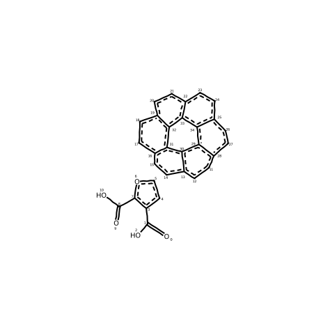 O=C(O)c1ccoc1C(=O)O.c1cc2ccc3ccc4ccc5ccc6ccc1c1c2c3c4c5c61